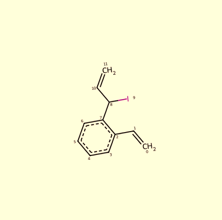 C=Cc1ccccc1C(I)C=C